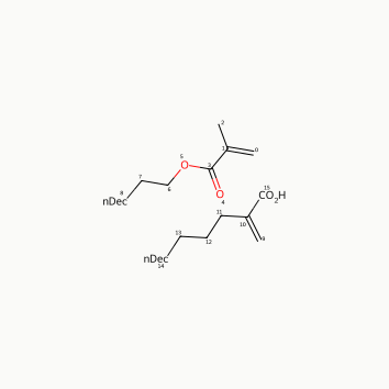 C=C(C)C(=O)OCCCCCCCCCCCC.C=C(CCCCCCCCCCCCC)C(=O)O